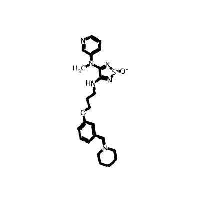 CN(c1cccnc1)c1n[s+]([O-])nc1NCCCOc1cccc(CN2CCCCC2)c1